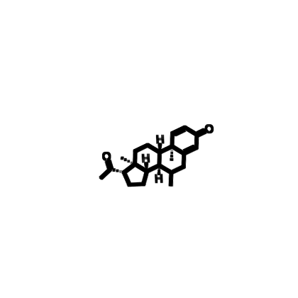 CC(=O)[C@H]1CC[C@H]2[C@@H]3C(C)CC4=CC(=O)C=C[C@]4(C)[C@H]3CC[C@]12C